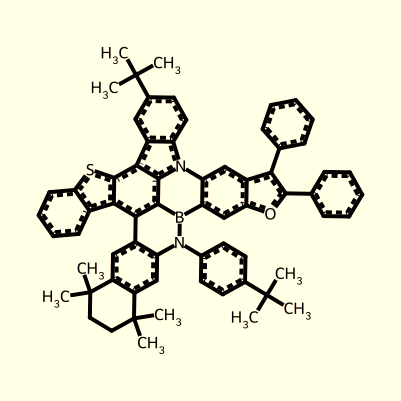 CC(C)(C)c1ccc(N2B3c4cc5oc(-c6ccccc6)c(-c6ccccc6)c5cc4-n4c5ccc(C(C)(C)C)cc5c5c6sc7ccccc7c6c(c3c54)-c3cc4c(cc32)C(C)(C)CCC4(C)C)cc1